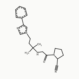 CC(C)(CCn1cnc(-c2ccccc2)c1)NCC(=O)N1CCCC1C#N